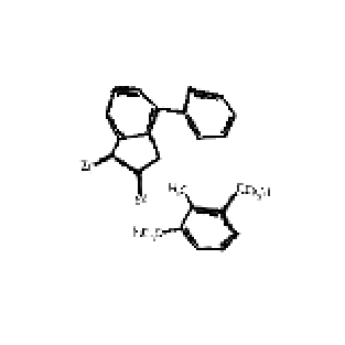 CCC1Cc2c(-c3ccccc3)cccc2[CH]1[Zr].Cc1c(C(=O)O)cccc1C(=O)O